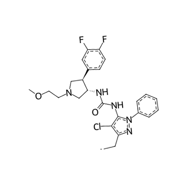 [CH2]Cc1nn(-c2ccccc2)c(NC(=O)N[C@@H]2CN(CCOC)C[C@H]2c2ccc(F)c(F)c2)c1Cl